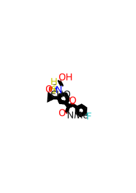 CNC(=O)c1c(-c2ccc(F)cc2)oc2cc(N(CCO)[SH](C)(=O)C=O)c(C3CC3)cc12